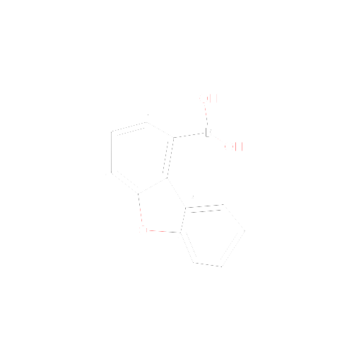 OB(O)c1cccc2oc3ccccc3c12